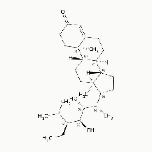 CC[C@@H](C(C)C)[C@H](O)[C@H](O)[C@@H](C)[C@H]1CC[C@H]2[C@@H]3CCC4=CC(=O)CC[C@]4(C)[C@H]3CC[C@]12C